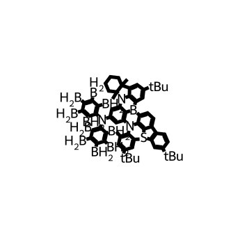 Bc1c(B)c(B)c(N(c2cc3c4c(c2)N2c5c(cc(C(C)(C)C)cc5C5(C)CCCCC25C)B4c2ccc4c(sc5cc(C(C)(C)C)ccc54)c2N3c2c(C)cc(C(C)(C)C)cc2C)c2c(B)c(B)c(B)c(B)c2B)c(B)c1B